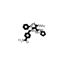 CNC(=S)/C(C(=N)NC1CCCC1)=C(/NCc1ccc(C(N)=O)cc1)N(c1ccccc1)C(C)C